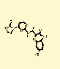 C[C@H](Nc1nccc(N2CCOC2=O)n1)c1nc2cc(Cl)ccc2[nH]c1=O